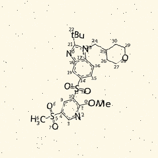 COc1ncc(S(C)(=O)=O)cc1S(=O)(=O)c1ccc2c(c1)nc(C(C)(C)C)n2CC1CCOCC1